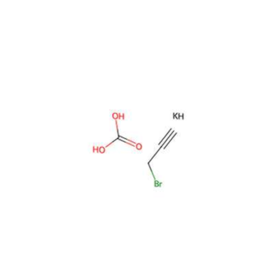 C#CCBr.O=C(O)O.[KH]